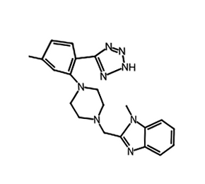 Cc1ccc(-c2nn[nH]n2)c(N2CCN(Cc3nc4ccccc4n3C)CC2)c1